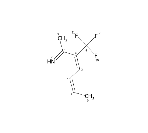 C/C=C\C=C(/C(C)=N)C(F)(F)F